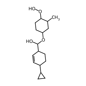 CC1CC(OC(O)C2C=CC(C3CC3)CC2)CCC1OO